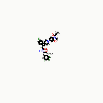 C=CC(=O)N1CCOc2cc(N3CCC4(CC3)C[C@@H](CC(=O)N[C@H](Cc3cc(F)c(F)c(F)c3)C(=O)NC)c3ccc(F)cc34)ccc21